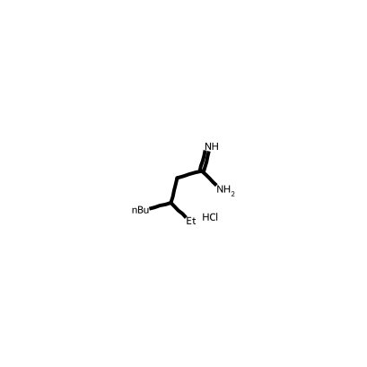 CCCCC(CC)CC(=N)N.Cl